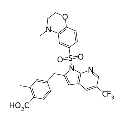 Cc1cc(Cc2cc3cc(C(F)(F)F)cnc3n2S(=O)(=O)c2ccc3c(c2)N(C)CCO3)ccc1C(=O)O